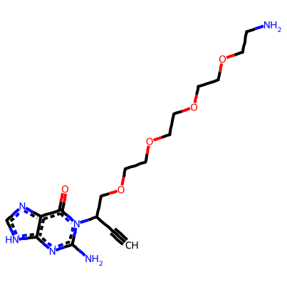 C#CC(COCCOCCOCCOCCN)n1c(N)nc2[nH]cnc2c1=O